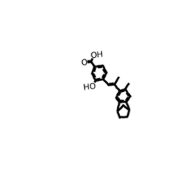 C/C(=C\c1ccc(C(=O)O)cc1O)c1cc2c(cc1C)C1CCC2C1